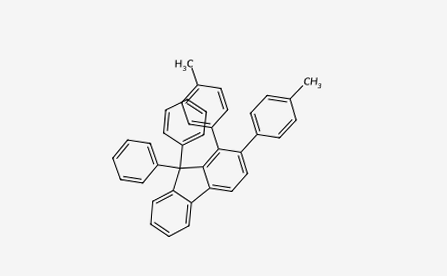 Cc1ccc(-c2ccc3c(c2-c2ccc(C)cc2)C(c2ccccc2)(c2ccccc2)c2ccccc2-3)cc1